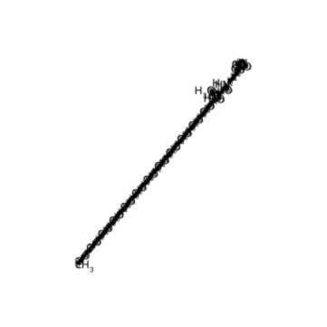 COCCOCCOCCOCCOCCOCCOCCOCCOCCOCCOCCOCCOCCOCCOCCOCCOCCOCCOCCOCCOCCOCCOCCOCCNC(=O)C(CCC(=O)NCCCCCC(=O)ON1C(=O)CCC1=O)NC(C)=O